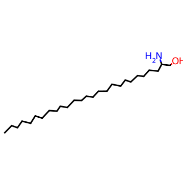 CCCCCCCCCCCCCCCCCCCCCCCCCC(N)CO